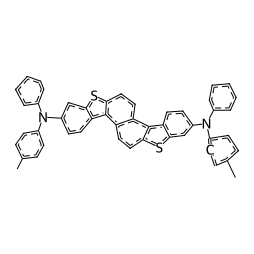 Cc1ccc(N(c2ccccc2)c2ccc3c(c2)sc2ccc4c(ccc5sc6cc(N(c7ccccc7)c7ccc(C)cc7)ccc6c54)c23)cc1